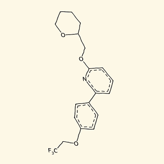 FC(F)(F)COc1ccc(-c2cccc(OCC3CCCCO3)n2)cc1